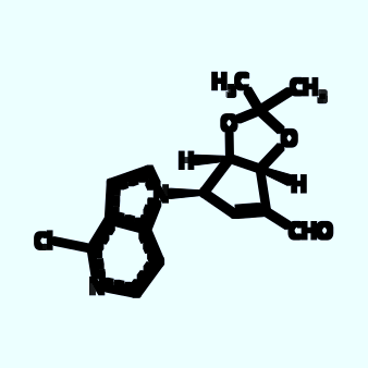 CC1(C)O[C@@H]2[C@H](O1)C(C=O)=C[C@H]2n1ccc2c(Cl)nccc21